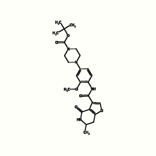 COc1cc(N2CCN(C(=O)OC(C)(C)C)CC2)ccc1NC(=O)c1coc2c1C(=O)NC(C)C2